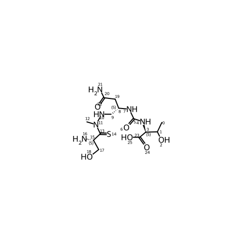 CC(O)[C@H](NC(=O)N[C@H](CNN(C)C(=S)[C@@H](N)CO)CC(N)=O)C(=O)O